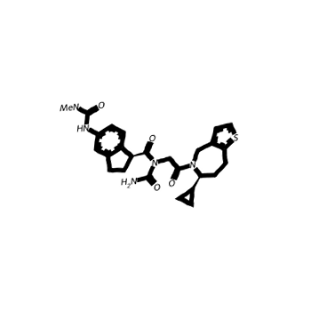 CNC(=O)Nc1ccc2c(c1)CC[C@@H]2C(=O)N(CC(=O)N1Cc2ccsc2CC[C@H]1C1CC1)C(N)=O